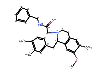 CCCOc1cc2c(cc1OC)CCN(CC(=O)NCc1ccccc1)C2Cc1ccc(OC)c(OC)c1